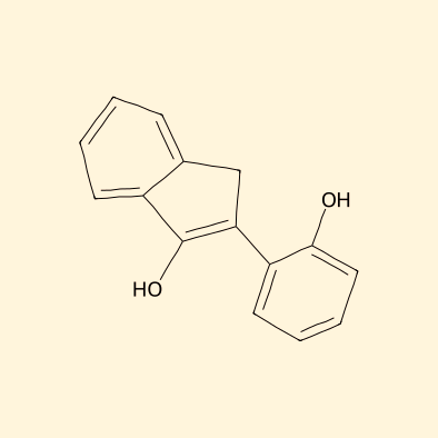 OC1=C(c2ccccc2O)Cc2ccccc21